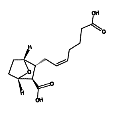 O=C(O)CCC/C=C\C[C@@H]1[C@@H](C(=O)O)[C@@H]2CC[C@H]1O2